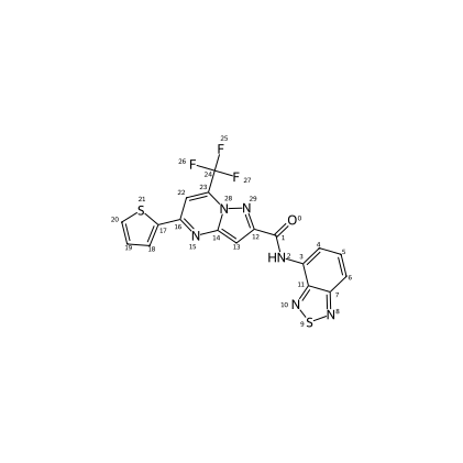 O=C(Nc1cccc2nsnc12)c1cc2nc(-c3cccs3)cc(C(F)(F)F)n2n1